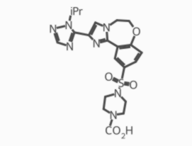 CC(C)n1ncnc1-c1cn2c(n1)-c1cc(S(=O)(=O)N3CCN(C(=O)O)CC3)ccc1OCC2